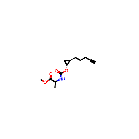 C#CCCC[C@@H]1C[C@H]1OC(=O)N[C@@H](C)C(=O)OC